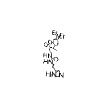 CCN(CC)c1ccc2c(c1)OC(=O)C(CCNC(=O)NCCc1cnc[nH]1)C2C